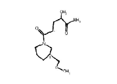 COC[C@H]1CCCN(C(=O)[CH]CC(C)C(N)=O)C1